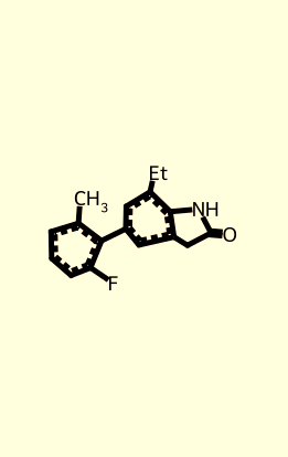 CCc1cc(-c2c(C)cccc2F)cc2c1NC(=O)C2